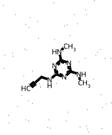 C#CCNc1nc(NC)nc(NC)n1